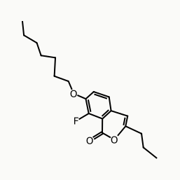 CCCCCCCOc1ccc2cc(CCC)oc(=O)c2c1F